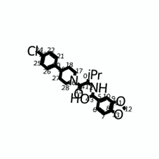 CC(C)C(NC(O)c1ccc2c(c1)OCO2)C(=O)N1CCC(c2ccc(Cl)cc2)CC1